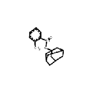 Cc1ccccc1[PH](=O)OC12CC3CC(CC(C3)C1)C2